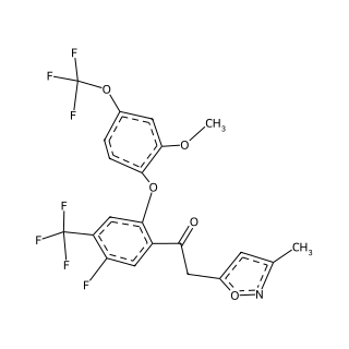 COc1cc(OC(F)(F)F)ccc1Oc1cc(C(F)(F)F)c(F)cc1C(=O)Cc1cc(C)no1